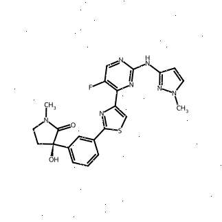 CN1CC[C@@](O)(c2cccc(-c3nc(-c4nc(Nc5ccn(C)n5)ncc4F)cs3)c2)C1=O